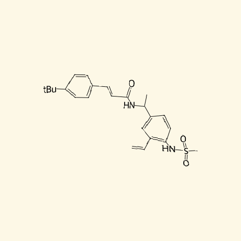 C=Cc1cc(C(C)NC(=O)C=Cc2ccc(C(C)(C)C)cc2)ccc1NS(C)(=O)=O